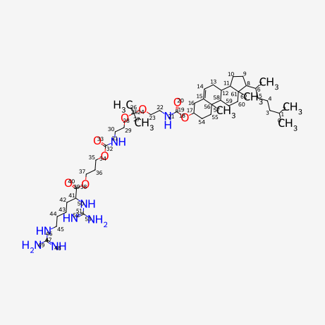 CC(C)CCCC(C)C1CCC2C3CC=C4CC(OC(=O)NCCOC(C)(C)OCCNC(=O)OCCCOC(=O)C(CCCCNC(=N)N)NC(=N)N)CCC4(C)C3CCC12C